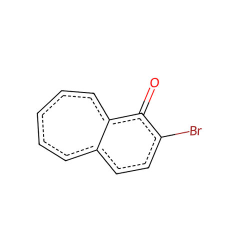 O=c1c(Br)ccc2cccccc1-2